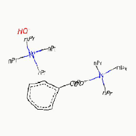 CCC[N+](CCC)(CCC)CCC.CCC[N+](CCC)(CCC)CCC.O=C([O-])c1ccccc1.[OH-]